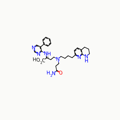 NC(=O)CCN(CCCCc1ccc2c(n1)NCCC2)CC[C@H](Nc1ncncc1-c1ccccc1)C(=O)O